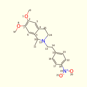 COc1cc2c(cc1OC)C(C)N(CCc1ccc([N+](=O)[O-])cc1)CC2